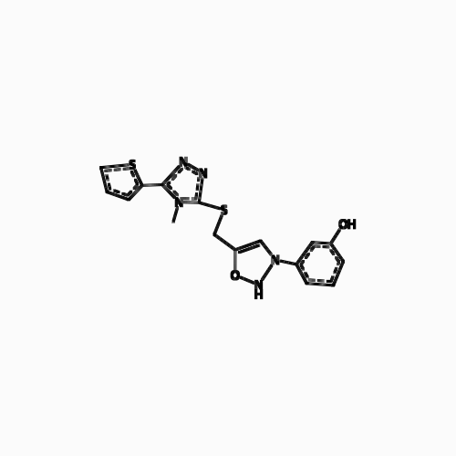 Cn1c(SCC2=CN(c3cccc(O)c3)NO2)nnc1-c1cccs1